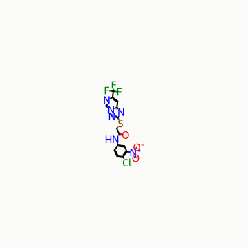 O=C(CSc1nc2cc(C(F)(F)F)ncn2n1)Nc1ccc(Cl)c([N+](=O)[O-])c1